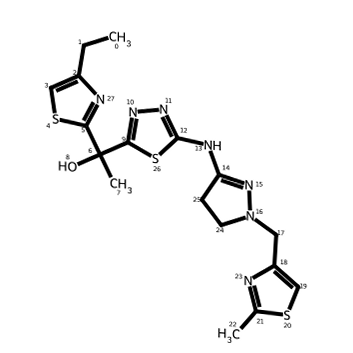 CCc1csc(C(C)(O)c2nnc(NC3=NN(Cc4csc(C)n4)CC3)s2)n1